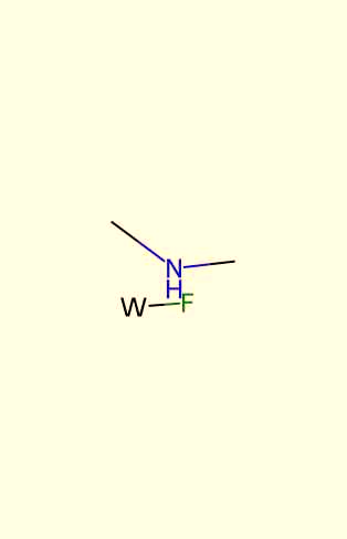 CNC.[F][W]